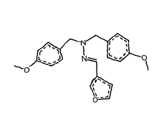 COc1ccc(CN(Cc2ccc(OC)cc2)/N=C/c2ccoc2)cc1